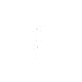 CCSNc1ccc(C(=O)N2CCc3c(c(=O)oc4c(C)c(N5CCN(C)CC5)cc(C)c34)C2)cc1OC(F)(F)F